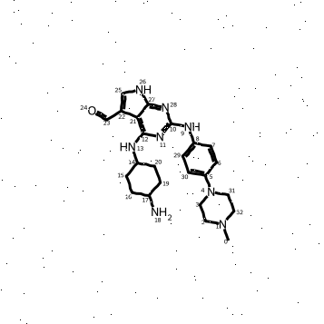 CN1CCN(c2ccc(Nc3nc(NC4CCC(N)CC4)c4c(C=O)c[nH]c4n3)cc2)CC1